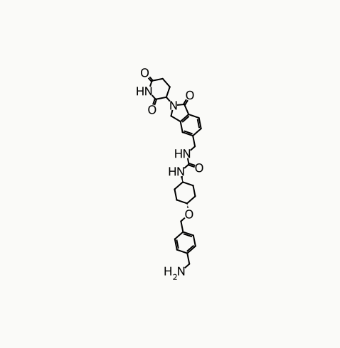 NCc1ccc(CO[C@H]2CC[C@H](NC(=O)NCc3ccc4c(c3)CN(C3CCC(=O)NC3=O)C4=O)CC2)cc1